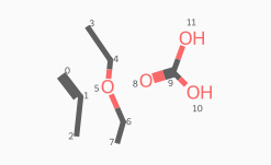 C=CC.CCOCC.O=C(O)O